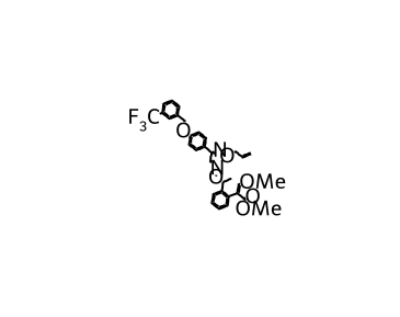 C=CCON=C(C=NOC(C)c1ccccc1C(=COC)C(=O)OC)c1ccc(OCc2cccc(C(F)(F)F)c2)cc1